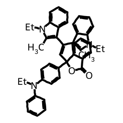 CCN(c1ccccc1)c1ccc(C2(C=C(c3c(C)n(CC)c4ccccc34)c3c(C)n(CC)c4ccccc34)OC(=O)c3ccccc32)cc1